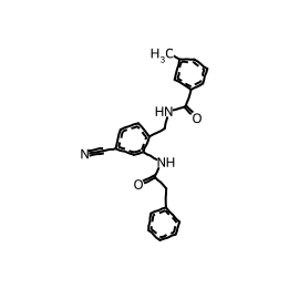 Cc1cccc(C(=O)NCc2ccc(C#N)cc2NC(=O)Cc2ccccc2)c1